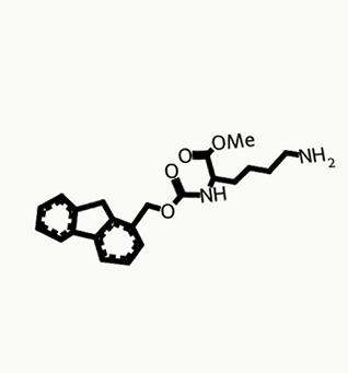 COC(=O)C(CCCCN)NC(=O)OCc1cccc2c1Cc1ccccc1-2